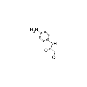 Nc1ccc(NC(=O)C[O])cc1